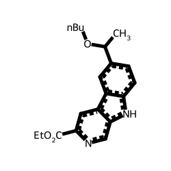 CCCCOC(C)c1ccc2[nH]c3cnc(C(=O)OCC)cc3c2c1